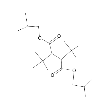 CC(C)COC(=O)C(C(C(=O)OCC(C)C)C(C)(C)C)C(C)(C)C